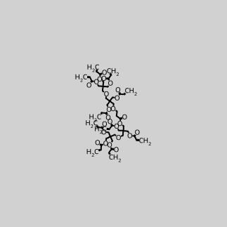 C=CC(=O)OCC(COCCC(=O)OCC(COCC(COC(=O)C=C)(COC(=O)C=C)COC(=O)C=C)(COC(=O)C=C)COC(=O)C=C)(COCC(COC(=O)C=C)(COC(=O)C=C)COC(=O)C=C)COC(=O)C=C